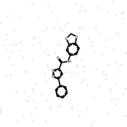 O=C(Nc1ccc2c(c1)OCO2)c1cc(-c2ccccc2)on1